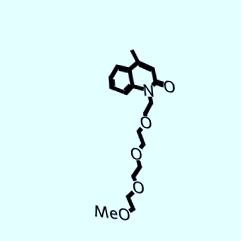 COCCOCCOCCOCCn1c(=O)cc(C)c2ccccc21